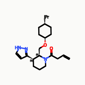 C=CCC(=O)N1CCC[C@H](c2cc[nH]n2)[C@@H]1CO[C@H]1CC[C@@H](C(C)C)CC1